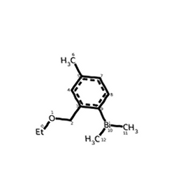 CCOCc1cc(C)cc[c]1[Bi]([CH3])[CH3]